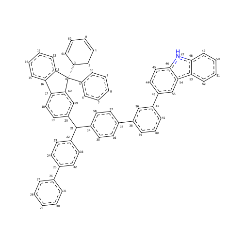 C1=CCC([C@@]2(c3ccccc3)c3ccccc3-c3ccc(C(c4ccc(-c5ccccc5)cc4)c4ccc(-c5cccc(-c6ccc7[nH]c8ccccc8c7c6)c5)cc4)cc32)C=C1